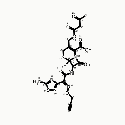 C#CCON=C(C(=O)NC1C(=O)N2C(C(=O)O)=C(COC(=O)CC(C)=O)CS[C@@H]12)c1nsc(N)n1